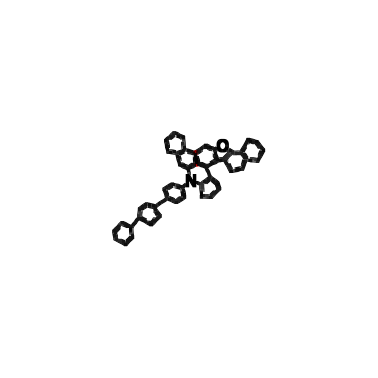 c1ccc(-c2ccc(-c3ccc(N(c4ccc5ccccc5c4)c4ccccc4-c4cccc5oc6c7ccccc7ccc6c45)cc3)cc2)cc1